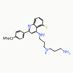 COc1ccc(-c2cc(NCCCN(C)CCCN)c3c(F)cccc3n2)cc1